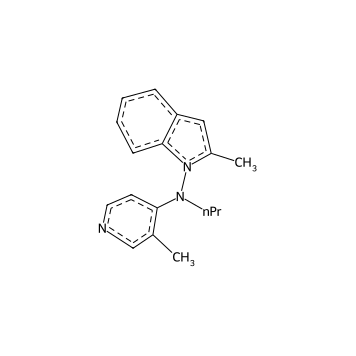 CCCN(c1ccncc1C)n1c(C)cc2ccccc21